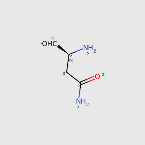 NC(=O)C[C@H](N)[C]=O